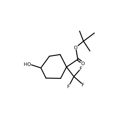 CC(C)(C)OC(=O)C1(C(F)(F)F)CCC(O)CC1